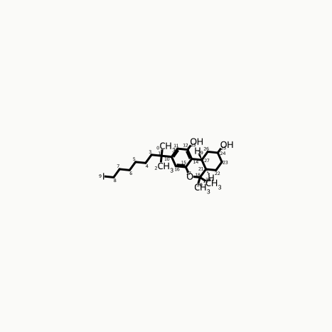 CC(C)(CCCCCCI)c1cc(O)c2c(c1)OC(C)(C)[C@@H]1CCC(O)C[C@@H]21